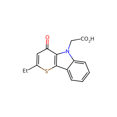 CCc1cc(=O)c2c(s1)c1ccccc1n2CC(=O)O